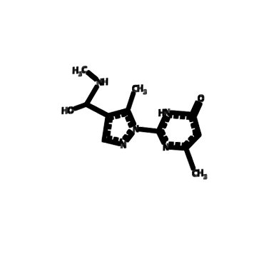 CNC(O)c1cnn(-c2nc(C)cc(=O)[nH]2)c1C